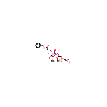 CCCCOC(COCCOCC)ONC(=O)[C@H](CCC(=O)OCc1ccccc1)NC(=O)OC(C)(C)C